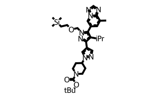 Cc1cc(-c2c(C(C)C)c(-c3cnn(C4CCN(C(=O)OC(C)(C)C)CC4)c3)nn2COCC[Si](C)(C)C)cn2ncnc12